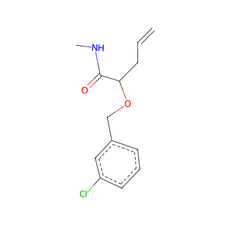 C=CCC(OCc1cccc(Cl)c1)C(=O)NC